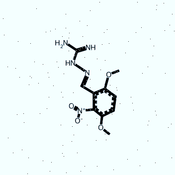 COc1ccc(OC)c([N+](=O)[O-])c1C=NNC(=N)N